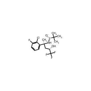 CC(C)(C)[S@@+]([O-])N[C@@](C)(C[C@H](O)C(F)(F)F)c1cccc(F)c1Cl